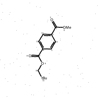 COC(=O)c1ccc(C(=O)OCC(C)(C)C)cc1